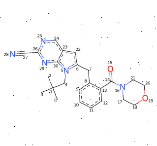 CC(C)(C)Cn1c(Cc2ccccc2C(=O)N2CCOCC2)cc2cnc(C#N)nc21